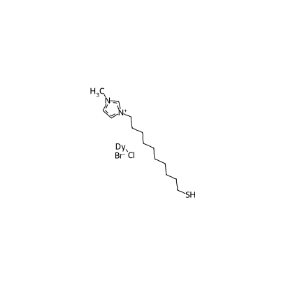 Cn1cc[n+](CCCCCCCCCCS)c1.[Br-].[Cl][Dy]